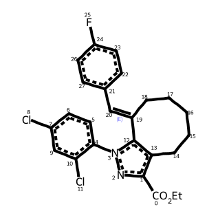 CCOC(=O)c1nn(-c2ccc(Cl)cc2Cl)c2c1CCCCC/C2=C\c1ccc(F)cc1